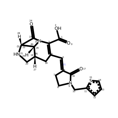 O=C(O)C1=C(/C=C2\CCN(Cc3cccs3)C2=O)C[C@@H]2CN[C@@H]3C(=O)N1[C@H]23